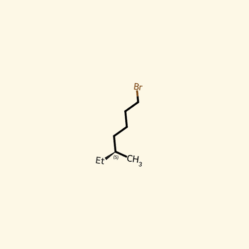 CC[C@H](C)CCCCBr